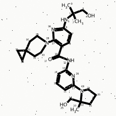 CC(C)(CO)Nc1ccc(C(=O)Nc2cccc(N3CCCC3(C)CO)n2)c(N2CCC3(CC2)CC3)n1